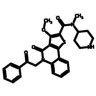 COc1c(C(=O)N(C)C2CCNCC2)sc2c1c(=O)n(CC(=O)c1ccccc1)c1ccccc21